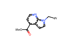 COC(=O)c1ccnc2c1ccn2CC(C)C